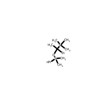 CCC[Si](C)(C)OC(C)(CC)[Si](C)(C)C